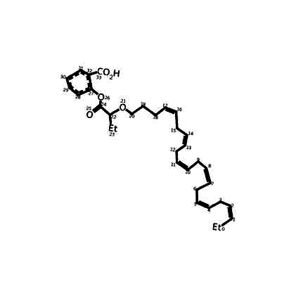 CC/C=C\C/C=C\C/C=C\C/C=C\C/C=C\C/C=C\CCCOC(CC)C(=O)Oc1ccccc1C(=O)O